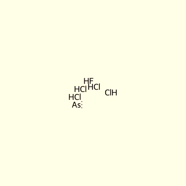 Cl.Cl.Cl.Cl.F.[As]